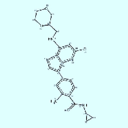 Cc1cc(-c2cnc3c(NCC4COCCO4)cc(Cl)nn23)ccc1C(=O)NC1CC1